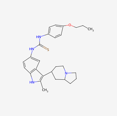 CCCOc1ccc(NC(=S)Nc2ccc3[nH]c(C)c(C4CCN5CCCC5C4)c3c2)cc1